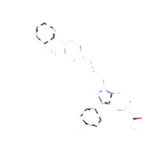 Cc1ccc(-c2nn(CC(O)CN3CCN(c4ccccc4C#N)CC3)c3c2CN(C(N)=O)CC3)cc1